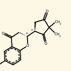 CC1(C)C(=O)C[C@H]([C@H]2CC(=O)c3cc(F)ccc3O2)C1=O